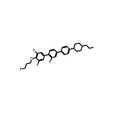 CCCC1CCC(c2ccc(-c3ccc(-c4cc(F)c(OCCCF)c(F)c4)c(F)c3)cc2)CC1